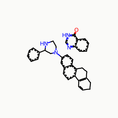 C1=CC2=C(CC1)CCc1c2ccc2cc(N3CCNC(c4ccccc4)C3)ccc12.O=c1[nH]cnc2ccccc12